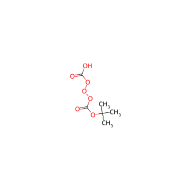 CC(C)(C)OC(=O)OOOC(=O)O